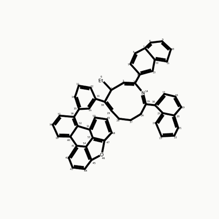 CCC1/C=C(c2ccc3ccccc3c2)\N=C(\c2cccc3ccccc23)CCC/C=C\1c1cccc(-c2cccc3c4cccc5oc6cccc(c23)c6c54)c1